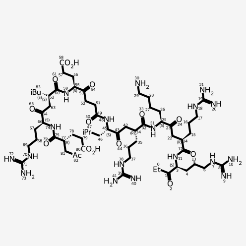 CCC(=O)[C@H](CCCNC(=N)N)NC(=O)[C@H](CCCNC(=N)N)CC(=O)[C@H](CCCCN)NC(=O)[C@H](CCCNC(=N)N)CC(=O)[C@H](CC(C)C)NC(=O)CCC(=O)[C@H](CCC(=O)O)NC(=O)[C@@H](CC(=O)[C@H](CCCNC(=N)N)NC(=O)[C@H](CCC(=O)O)CC(C)=O)[C@@H](C)CC